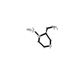 NC[C@H]1COCCN1C(=O)O